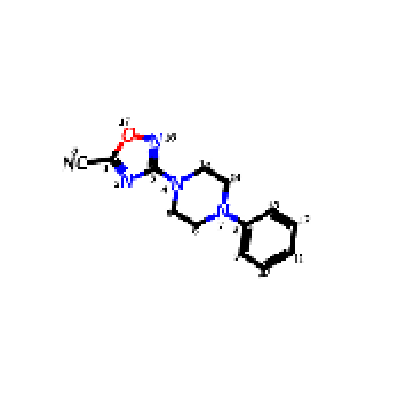 N#Cc1nc(N2CCN(c3ccccc3)CC2)no1